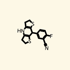 N#Cc1cc(C2C3=C(CCS3)NC3=C2SCC3)ccc1F